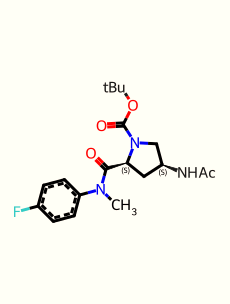 CC(=O)N[C@H]1C[C@@H](C(=O)N(C)c2ccc(F)cc2)N(C(=O)OC(C)(C)C)C1